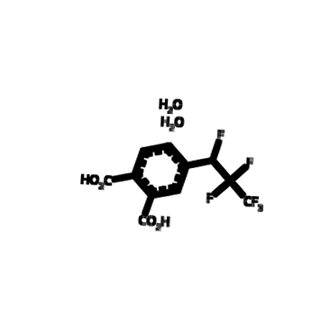 O.O.O=C(O)c1ccc(C(F)C(F)(F)C(F)(F)F)cc1C(=O)O